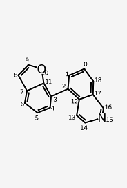 c1cc(-c2cccc3ccoc23)c2ccncc2c1